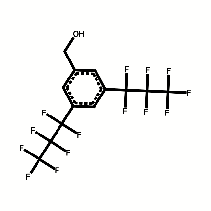 OCc1cc(C(F)(F)C(F)(F)C(F)(F)F)cc(C(F)(F)C(F)(F)C(F)(F)F)c1